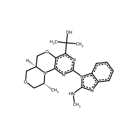 CNc1nc2ccccc2n1-c1nc2c(c(C(C)(C)O)n1)OC[C@@H]1COC[C@@H](C)N21